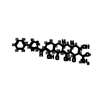 NC(=O)C1=C(O)C[C@@H]2C[C@@H]3Cc4ccc(Nc5nc(-c6ccccc6)cs5)c(O)c4C(=O)C3=C(O)C2C1=O